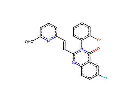 O=Cc1cccc(/C=C/c2nc3ccc(F)cc3c(=O)n2-c2ccccc2Br)n1